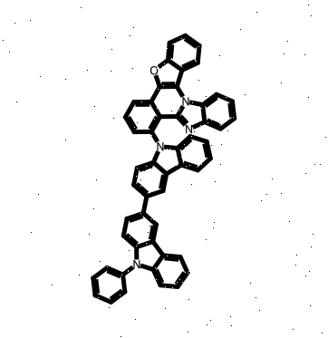 c1ccc(-n2c3ccccc3c3cc(-c4ccc5c(c4)c4ccccc4n5-c4cccc5c6oc7ccccc7c6n6c7ccccc7nc6c45)ccc32)cc1